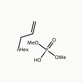 C=CCCCCCCC.COP(=O)(O)OC